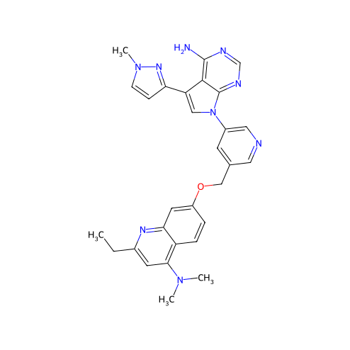 CCc1cc(N(C)C)c2ccc(OCc3cncc(-n4cc(-c5ccn(C)n5)c5c(N)ncnc54)c3)cc2n1